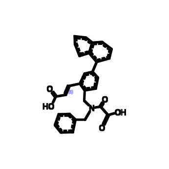 O=C(O)/C=C/c1cc(-c2cccc3ccccc23)ccc1CN(Cc1ccccc1)C(=O)C(=O)O